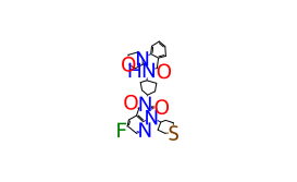 O=C(NC1CCC(n2c(=O)c3cc(F)cnc3n(C3CCSCC3)c2=O)CC1)c1ccccc1N1CCOCC1